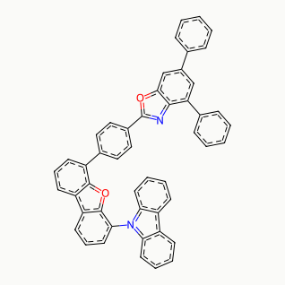 c1ccc(-c2cc(-c3ccccc3)c3nc(-c4ccc(-c5cccc6c5oc5c(-n7c8ccccc8c8ccccc87)cccc56)cc4)oc3c2)cc1